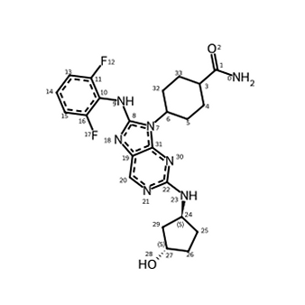 NC(=O)C1CCC(n2c(Nc3c(F)cccc3F)nc3cnc(N[C@H]4CC[C@H](O)C4)nc32)CC1